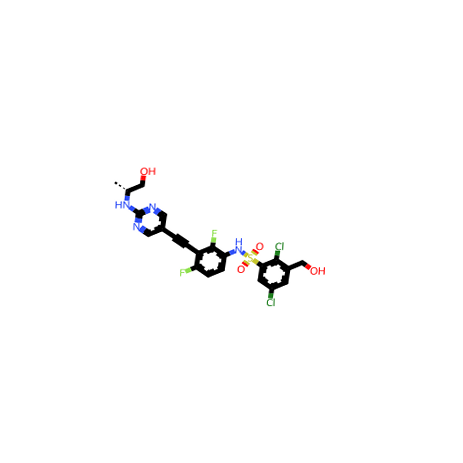 C[C@H](CO)Nc1ncc(C#Cc2c(F)ccc(NS(=O)(=O)c3cc(Cl)cc(CO)c3Cl)c2F)cn1